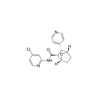 O=C(Nc1cc(Cl)ccn1)[C@H]1[C@H](c2ccncc2)[C@@H]2CC[C@H]1O2